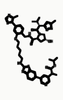 Cc1cc([C@H](C(=O)N2C[C@H](O)C[C@H]2C(=O)NCc2ccc(-c3scnc3C)cc2OCCCCCNc2nc3ccc(-c4cncc(N(C)C(=O)OC(C)C)c4)cc3s2)C(C)C)on1